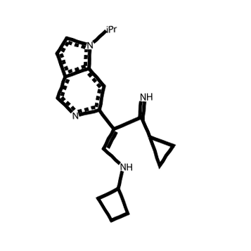 CC(C)n1ccc2cnc(/C(=C/NC3CCC3)C(=N)C3CC3)cc21